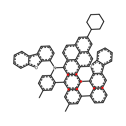 Cc1ccc(N(c2cc(N(c3ccc(C)cc3-c3ccccc3)c3cccc4c3oc3ccccc34)c3ccc4cc(C5CCCCC5)cc5ccc2c3c54)c2cccc3c2oc2ccccc23)c(-c2ccccc2)c1